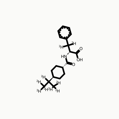 [2H]C([2H])(c1ccccc1)[C@@H](NC(=O)[C@H]1CC[C@H](C([2H])(C([2H])([2H])[2H])C([2H])([2H])[2H])CC1)C(=O)O